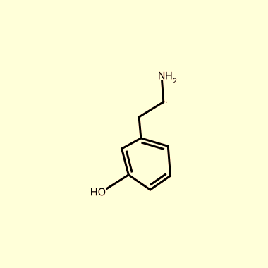 N[CH]Cc1cccc(O)c1